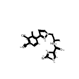 Cc1c(-c2ccn(CC(C)NC(=O)c3coc(Br)n3)n2)ccc(C#N)c1Cl